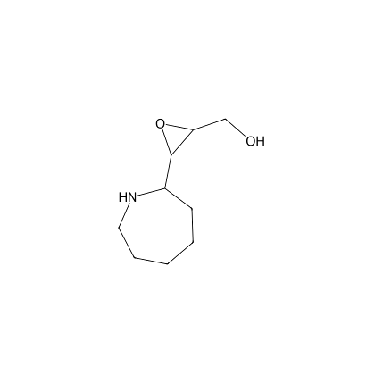 OCC1OC1C1CCCCCN1